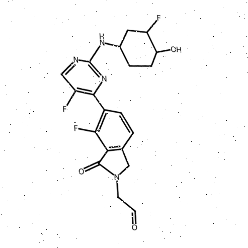 O=CCN1Cc2ccc(-c3nc(NC4CCC(O)C(F)C4)ncc3F)c(F)c2C1=O